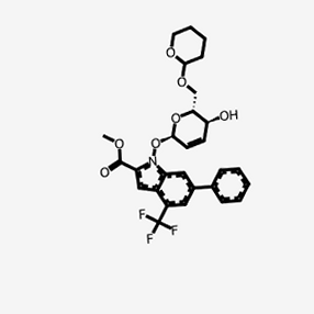 COC(=O)c1cc2c(C(F)(F)F)cc(-c3ccccc3)cc2n1O[C@@H]1C=C[C@H](O)[C@@H](COC2CCCCO2)O1